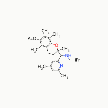 CC(=O)Oc1c(C)c(C)c2c(c1C)CCC(C)(C(NCC(C)C)c1cc(C)cc(C)n1)O2